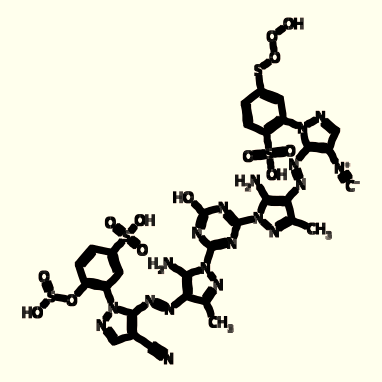 [C-]#[N+]c1cnn(-c2cc(SOOO)ccc2S(=O)(=O)O)c1N=Nc1c(C)nn(-c2nc(O)nc(-n3nc(C)c(N=Nc4c(C#N)cnn4-c4cc(S(=O)(=O)O)ccc4OS(=O)O)c3N)n2)c1N